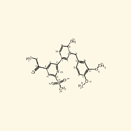 CCC(=O)c1cc(C2=CN(Cc3ccc(OC)c(OC)c3)C(O)C=C2)nc(S(C)(=O)=O)n1